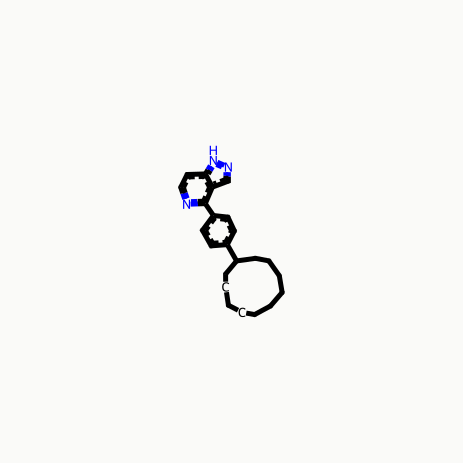 c1cc2[nH]ncc2c(-c2ccc(C3CCCCCCCCCC3)cc2)n1